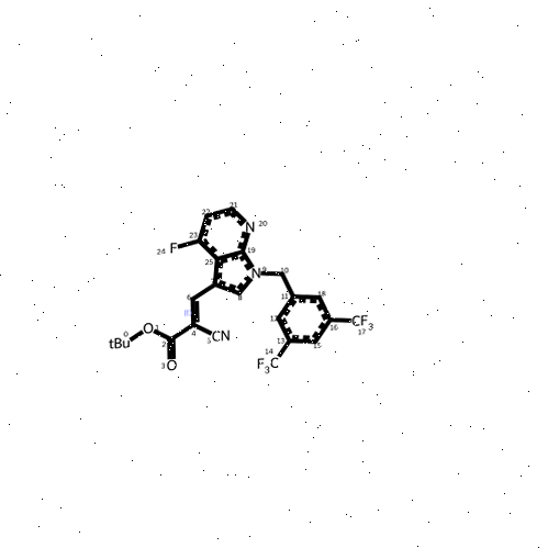 CC(C)(C)OC(=O)/C(C#N)=C/c1cn(Cc2cc(C(F)(F)F)cc(C(F)(F)F)c2)c2nccc(F)c12